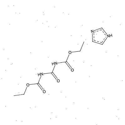 CCOC(=O)NC(=O)NC(=O)OCC.c1c[nH]cn1